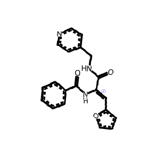 O=C(NCc1ccncc1)/C(=C/c1ccco1)NC(=O)c1ccccc1